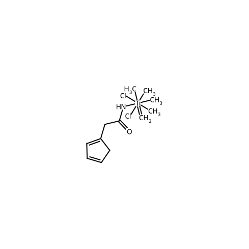 [CH2]=[Ti]([CH3])([CH3])([CH3])([CH3])([Cl])([Cl])[NH]C(=O)CC1=CC=CC1